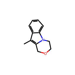 Cc1c2n(c3ccccc13)CCOC2